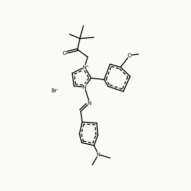 COc1cccc(-c2n(/N=C/c3ccc(N(C)C)cc3)cc[n+]2CC(=O)C(C)(C)C)c1.[Br-]